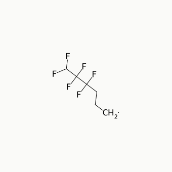 [CH2]CCC(F)(F)C(F)(F)C(F)F